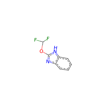 FC(F)Oc1nc2ccccc2[nH]1